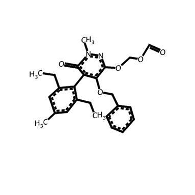 CCc1cc(C)cc(CC)c1-c1c(OCc2ccccc2)c(OCOC=O)nn(C)c1=O